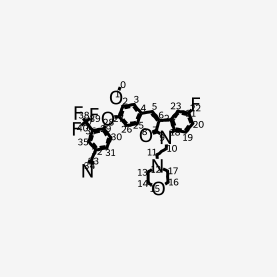 COc1cc(C=C2C(=O)N(CCN3CCOCC3)c3ccc(F)cc32)ccc1Oc1ccc(C#N)cc1C(F)(F)F